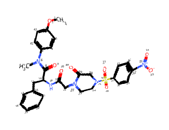 COc1ccc(N(C)C(=O)C(Cc2ccccc2)NC(=O)CN2CCN(S(=O)(=O)c3ccc([N+](=O)[O-])cc3)CC2=O)cc1